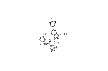 Cc1ncc(-c2ccc3c(c2)c(C(=O)O)nn3CC(=O)N2[C@H](C(=O)Nc3nc(Br)ccc3C)C[C@@]3(C)C[C@@H]23)cn1